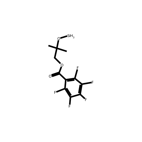 CC(C)(COC(=O)c1c(F)c(F)c(F)c(F)c1F)O[SiH3]